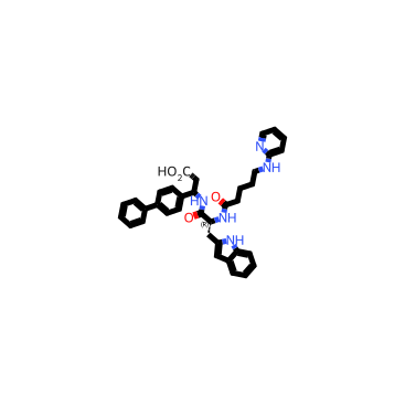 O=C(O)CC(NC(=O)[C@@H](Cc1cc2ccccc2[nH]1)NC(=O)CCCCNc1ccccn1)c1ccc(-c2ccccc2)cc1